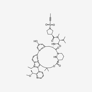 CC#CS(=O)(=O)N1CC[C@H](C(=O)N(C)[C@H](C(=O)N[C@H]2Cc3cc(O)cc(c3)-c3ccc4c(c3)c(c(-c3cccnc3[C@H](C)OC)n4CC)CC(C)(C)COC(=O)[C@@H]3CCCN(N3)C2=O)C(C)C)C1